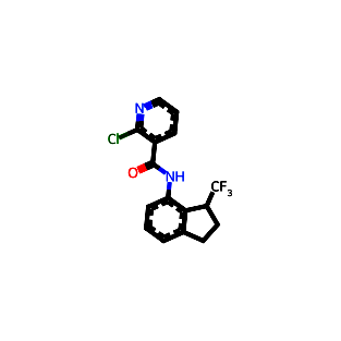 O=C(Nc1cccc2c1C(C(F)(F)F)CC2)c1cccnc1Cl